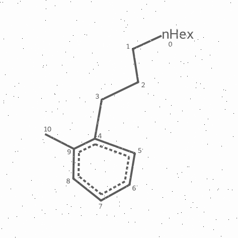 CCCCCCCCCc1ccccc1C